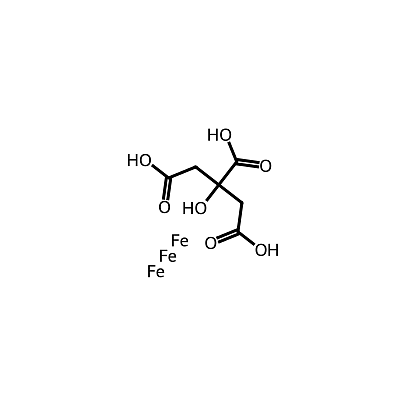 O=C(O)CC(O)(CC(=O)O)C(=O)O.[Fe].[Fe].[Fe]